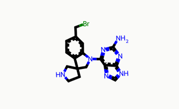 Nc1nc(N2CC3(CCNC3)c3ccc(CBr)cc32)c2nc[nH]c2n1